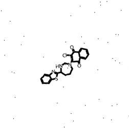 O=C1C(Cl)=C(N2CCCC(c3nc4ccccc4s3)NC2)C(=O)c2ccccc21